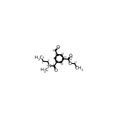 CCCN(C)C(=O)c1cc(C=O)cc(C(=O)OCC)c1